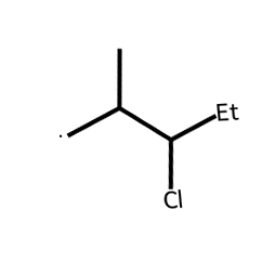 [CH2]C(C)C(Cl)CC